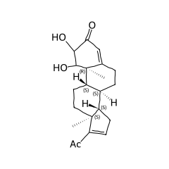 CC(=O)C1=CC[C@H]2[C@@H]3CCC4=CC(=O)C(O)C(O)[C@]4(C)[C@H]3CC[C@]12C